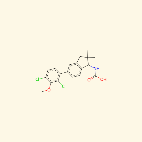 COc1c(Cl)ccc(-c2ccc3c(c2)CC(C)(C)C3NC(=O)O)c1Cl